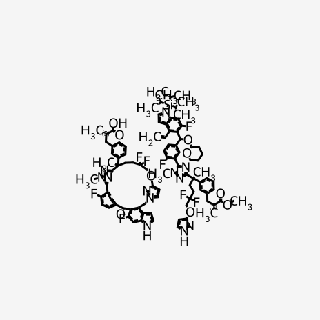 C=Cc1c(C(OC2CCCCO2)c2ccc(F)c(-c3nc(C(C)(CCC(F)(F)COc4cc[nH]n4)c4cccc(C[C@H](C)C(=O)OC)c4)nn3C)c2)c(F)cc2c1ccn2[Si](C(C)C)(C(C)C)C(C)C.C[C@@H](Cc1cccc(C2(C)CCC(F)(F)COc3ccn(n3)Cc3c(c(F)cc4[nH]ccc34)C(=O)c3ccc(F)c(c3)-c3nc2nn3C)c1)C(=O)O